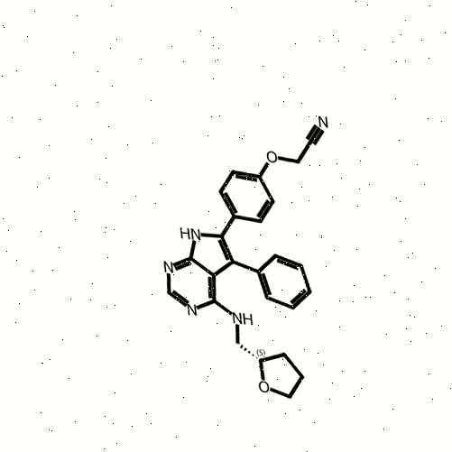 N#CCOc1ccc(-c2[nH]c3ncnc(NC[C@@H]4CCCO4)c3c2-c2ccccc2)cc1